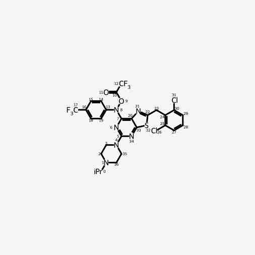 CC(C)N1CCN(c2nc(N(OC(=O)C(F)(F)F)c3ccc(C(F)(F)F)cc3)c3nc(Cc4c(Cl)cccc4Cl)sc3n2)CC1